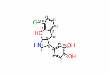 Oc1ccc(C2CNCC2Cc2cccc(Cl)c2O)cc1O